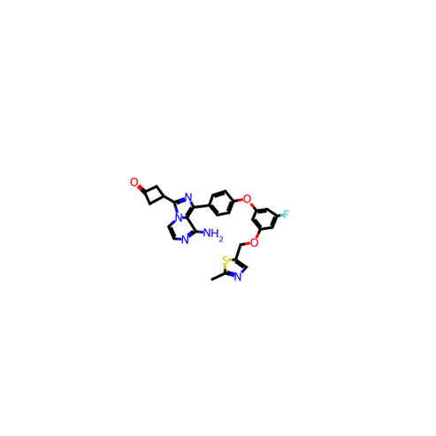 Cc1ncc(COc2cc(F)cc(Oc3ccc(-c4nc(C5CC(=O)C5)n5ccnc(N)c45)cc3)c2)s1